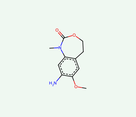 COc1cc2c(cc1N)N(C)C(=O)OCC2